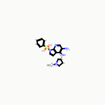 Nc1cnc2c(ccn2S(=O)(=O)c2ccccc2)c1N[C@@H]1CCN(C(=O)O)C1